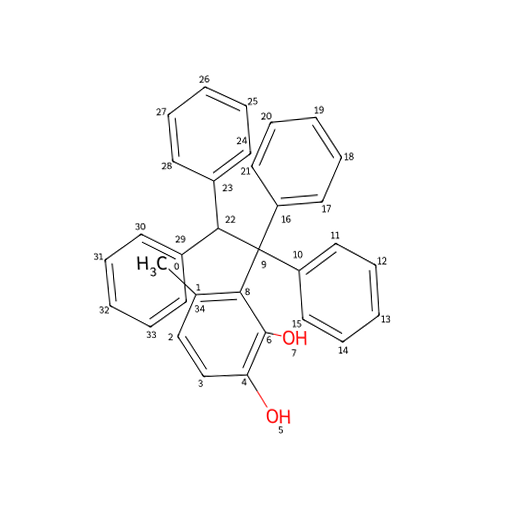 Cc1ccc(O)c(O)c1C(c1ccccc1)(c1ccccc1)C(c1ccccc1)c1ccccc1